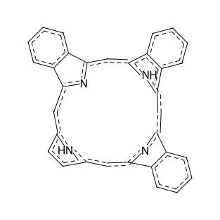 c1ccc2c(c1)-c1cc3ccc(cc4nc(cc5[nH]c(cc-2n1)c1ccccc51)-c1ccccc1-4)[nH]3